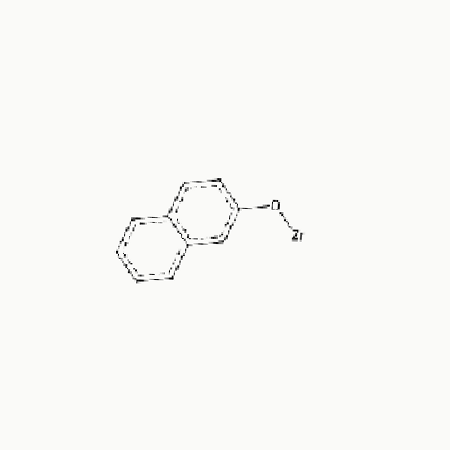 [Zr][O]c1ccc2ccccc2c1